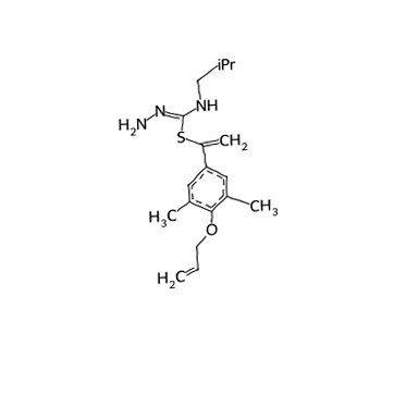 C=CCOc1c(C)cc(C(=C)S/C(=N\N)NCC(C)C)cc1C